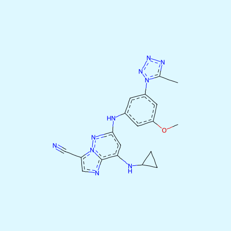 COc1cc(Nc2cc(NC3CC3)c3ncc(C#N)n3n2)cc(-n2nnnc2C)c1